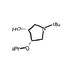 CC(C)O[C@H]1CN(C(C)(C)C)C[C@H]1O